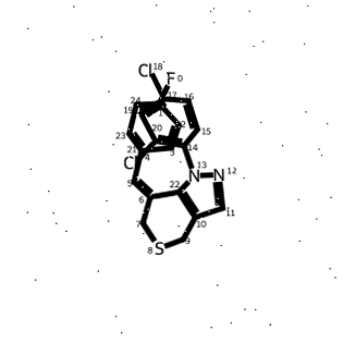 Fc1ccc(/C=C2/CSCc3[c]nn(-c4ccc(Cl)cc4Cl)c32)cc1